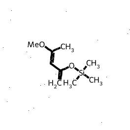 C=C(/C=C(\C)OC)O[Si](C)(C)C